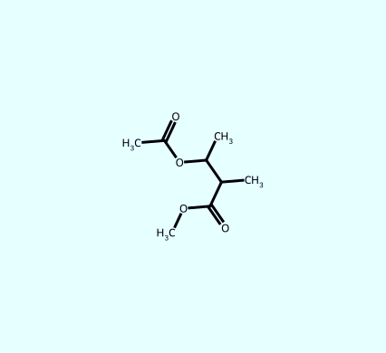 COC(=O)C(C)C(C)OC(C)=O